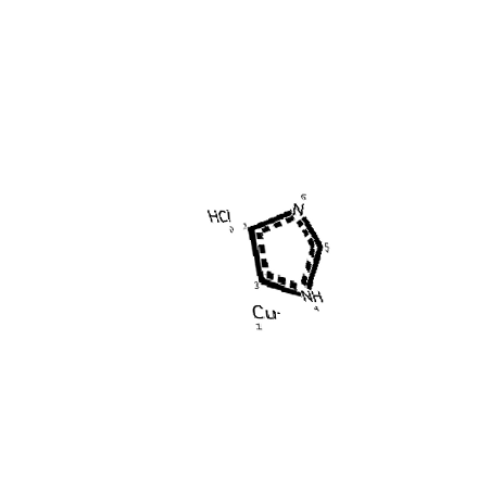 Cl.[Cu].c1c[nH]cn1